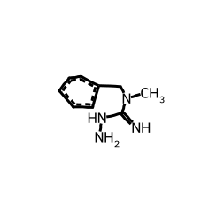 CN(Cc1ccccc1)C(=N)NN